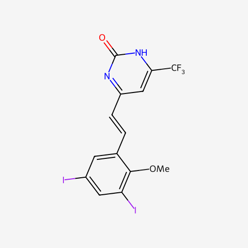 COc1c(I)cc(I)cc1/C=C/c1cc(C(F)(F)F)[nH]c(=O)n1